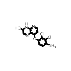 Nc1ccc(Oc2ccnc3c2N=CC(O)N3)c(Cl)c1Cl